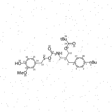 CCCCc1ccc(CC(CNC(=O)OSCc2ccc(O)c(OC)c2)COC(=O)C(C)(C)C)cc1